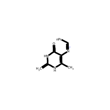 C=C1NC(=O)C(/N=C\CCC)=C(C)N1